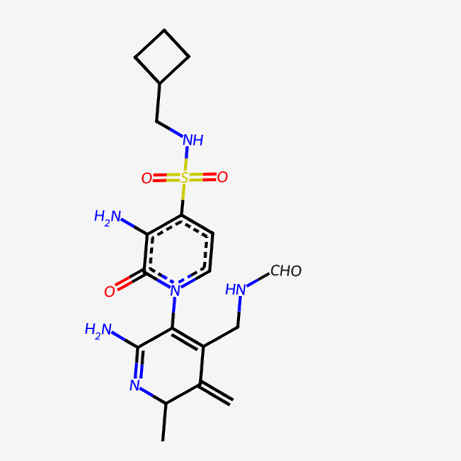 C=C1C(CNC=O)=C(n2ccc(S(=O)(=O)NCC3CCC3)c(N)c2=O)C(N)=NC1C